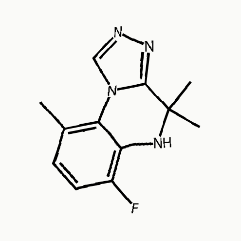 Cc1ccc(F)c2c1-n1cnnc1C(C)(C)N2